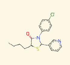 CCCCC1SC(c2cccnc2)N(c2ccc(Cl)cc2)C1=O